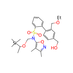 CCOCc1cc(CO)ccc1-c1ccccc1S(=O)(=O)N(COC(C)[Si](C)(C)C)c1onc(C)c1C